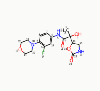 CC(O)(C(=O)Nc1ccc(N2CCOCC2)c(F)c1)C1CNC(=O)O1